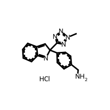 Cl.Cn1nnc(C2(c3ccc(CN)cc3)C=c3ccccc3=N2)n1